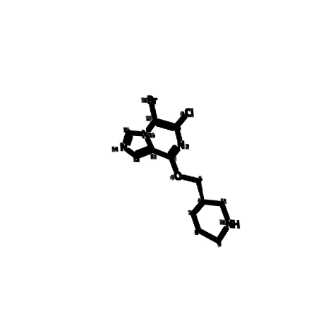 Clc1nc(OC[C@@H]2CCCNC2)c2cncn2c1Br